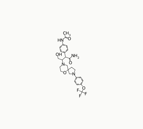 CC(=O)Nc1ccc(C(C(N)=O)C(CO)N2CCOC3(CCN(c4ccc(OC(F)(F)F)cc4)C3)C2)cc1